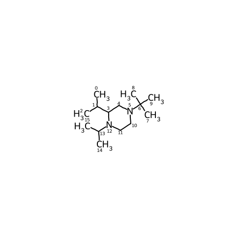 CC(C)C1CN(C(C)(C)C)CCN1C(C)C